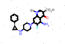 CCn1cc(C(=O)O)c(=O)c2c(N)c(F)c(N3CCC(N[C@@H]4C[C@H]4c4ccccc4)CC3)cc21